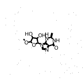 C=C1NC(=O)c2ncn(C3OC(OC)C(O)C3O)c2N1